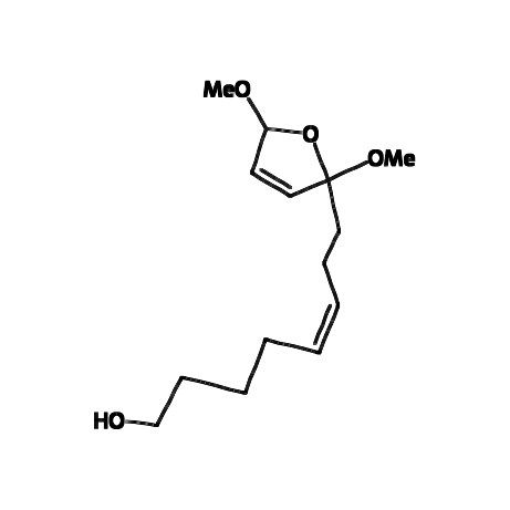 COC1C=CC(CC/C=C\CCCCO)(OC)O1